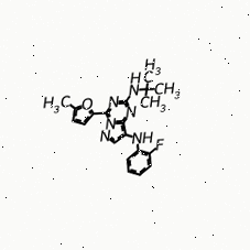 Cc1ccc(-c2nc(NC(C)(C)C)nc3c(Nc4ccccc4F)cnn23)o1